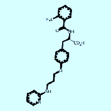 Cc1ccccc1C(=O)N[C@@H](Cc1ccc(OCCCNc2ccccn2)cc1)C(=O)O